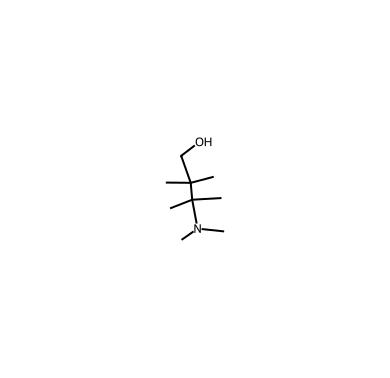 CN(C)C(C)(C)C(C)(C)CO